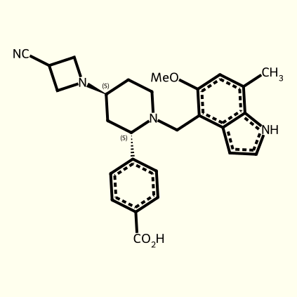 COc1cc(C)c2[nH]ccc2c1CN1CC[C@H](N2CC(C#N)C2)C[C@H]1c1ccc(C(=O)O)cc1